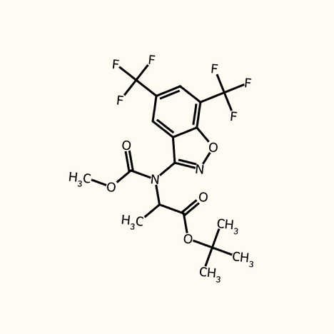 COC(=O)N(c1noc2c(C(F)(F)F)cc(C(F)(F)F)cc12)C(C)C(=O)OC(C)(C)C